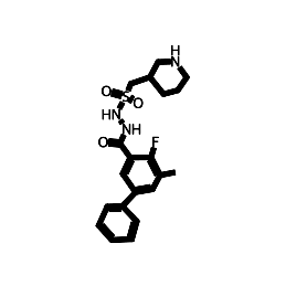 Cc1cc(-c2ccccc2)cc(C(=O)NNS(=O)(=O)CC2CCCNC2)c1F